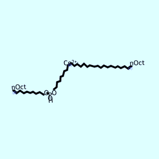 CCCCCCCC/C=C\CCCCCCCCCCCCCCCC/C=C\CCCCCCCCO[PH](=O)OCCCCCCCC/C=C\CCCCCCCC.[Co+2]